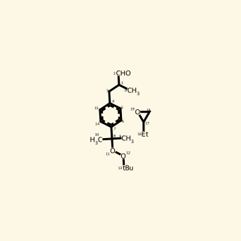 CC(C=O)Cc1ccc(C(C)(C)OOC(C)(C)C)cc1.CCC1CO1